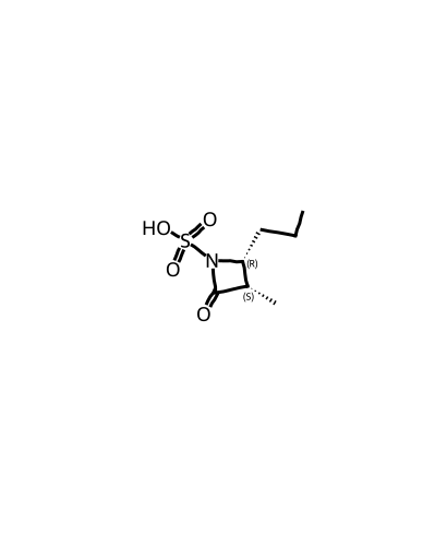 CCC[C@@H]1[C@H](C)C(=O)N1S(=O)(=O)O